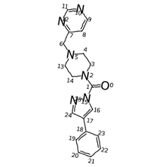 O=C(N1CCN(Cc2ccncn2)CC1)n1cc(-c2ccccc2)cn1